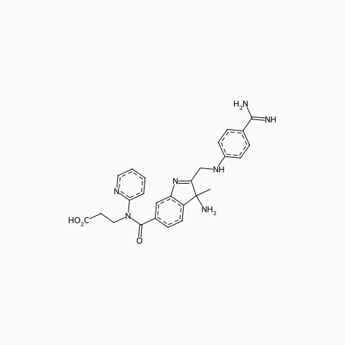 CC1(N)C(CNc2ccc(C(=N)N)cc2)=Nc2cc(C(=O)N(CCC(=O)O)c3ccccn3)ccc21